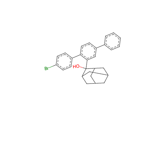 OC1(c2cc(-c3ccccc3)ccc2-c2ccc(Br)cc2)C2CC3CC(C2)CC1C3